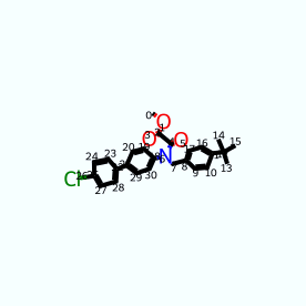 COC(=O)C(=O)N(Cc1ccc(C(C)(C)C)cc1)c1ccc(-c2ccc(Cl)cc2)cc1